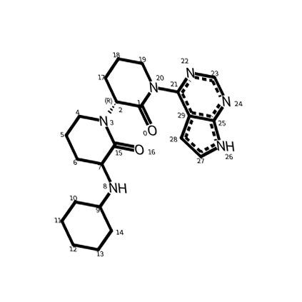 O=C1[C@H](N2CCCC(NC3CCCCC3)C2=O)CCCN1c1ncnc2[nH]ccc12